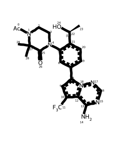 CC(=O)N1CCN(c2cc(-c3cc(C(F)(F)F)c4c(N)ncnn34)ccc2[C@H](C)O)C(=O)C1(C)C